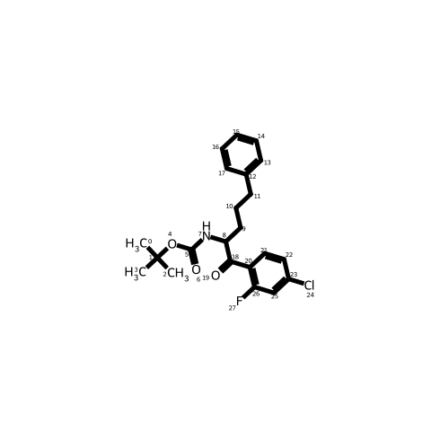 CC(C)(C)OC(=O)NC(CCCc1ccccc1)C(=O)c1ccc(Cl)cc1F